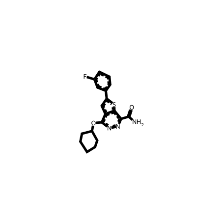 NC(=O)c1nnc(OC2CCCCC2)c2cc(-c3cccc(F)c3)sc12